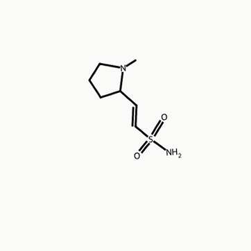 CN1CCCC1C=CS(N)(=O)=O